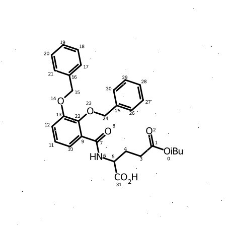 CC(C)COC(=O)CCC(NC(=O)c1cccc(OCc2ccccc2)c1OCc1ccccc1)C(=O)O